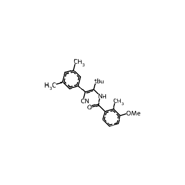 COc1cccc(C(=O)NC(=C(C#N)c2cc(C)cc(C)c2)C(C)(C)C)c1C